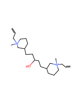 C=CC[N+]1(C)CCCC(CCC(O)CCC2CCC[N+](C)(CC=C)C2)C1